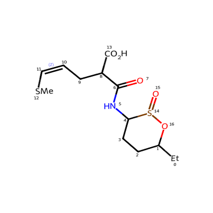 CCC1CCC(NC(=O)C(C/C=C\SC)C(=O)O)S(=O)O1